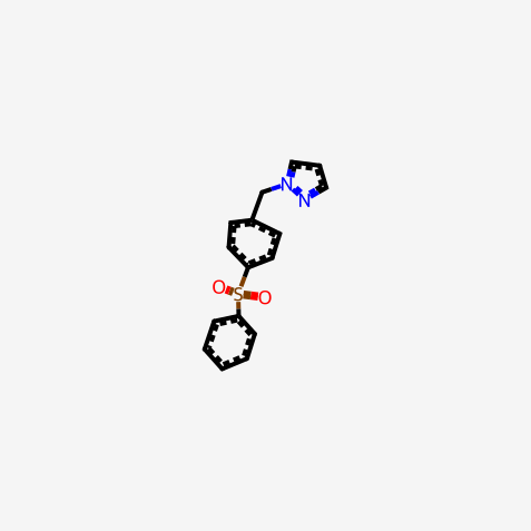 O=S(=O)(c1ccccc1)c1ccc(Cn2cccn2)cc1